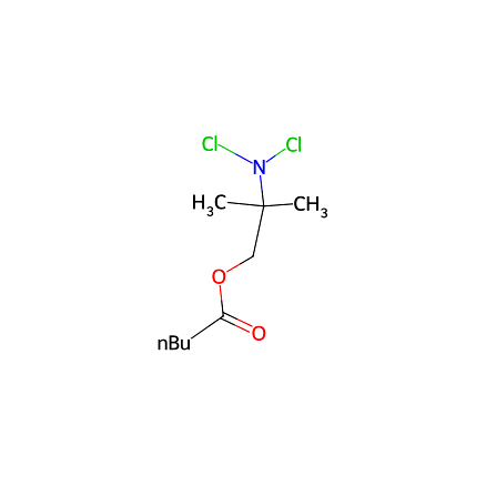 CCCCC(=O)OCC(C)(C)N(Cl)Cl